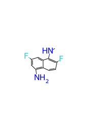 CNc1c(F)ccc2c(N)cc(F)cc12